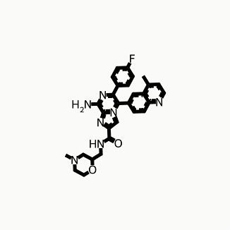 Cc1ccnc2ccc(-c3c(-c4ccc(F)cc4)nc(N)c4nc(C(=O)NCC5CN(C)CCO5)cn34)cc12